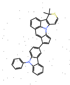 CC1(C)SC=Cc2c1c1cccc3cc4c(-c5ccc6c(c5)c5ccccc5n6-c5ccccc5)ccc4n2c31